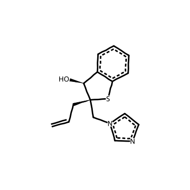 C=CC[C@]1(Cn2ccnc2)Sc2ccccc2[C@@H]1O